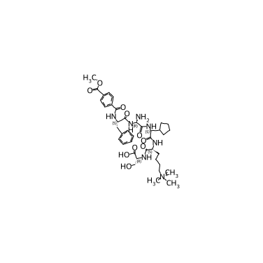 COC(=O)c1ccc(C(=O)N[C@@H](Cc2ccccc2)C(=O)N[C@@H](N)C(=O)N[C@H](C(=O)N[C@@H](CCCC[N+](C)(C)C)C(=O)N[C@H](CO)C(=O)O)C2CCCC2)cc1